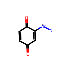 [N][N+]C1=CC(=O)C=CC1=O